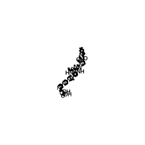 C=CC(=O)Nc1cc(Nc2nc(N3CCCC(N4CCn5c(cc6c5CC(C)(C)C6)C4=O)C3CO)cn(C)c2=O)ccc1N1CCN(C2CCN(c3ccnc(C(C)(C)OP(=O)(O)O)c3)CC2)C[C@@H]1C